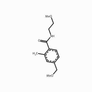 COCCNC(=O)c1ccc(COC)cc1C